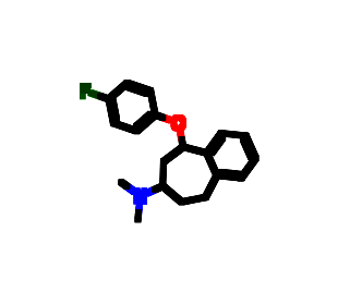 CN(C)C1CCc2ccccc2C(Oc2ccc(F)cc2)C1